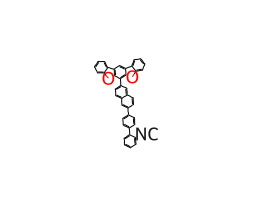 [C-]#[N+]c1ccccc1-c1ccc(-c2ccc3cc(-c4c5oc6ccccc6c5cc5c4oc4ccccc45)ccc3c2)cc1